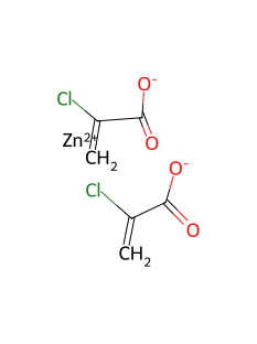 C=C(Cl)C(=O)[O-].C=C(Cl)C(=O)[O-].[Zn+2]